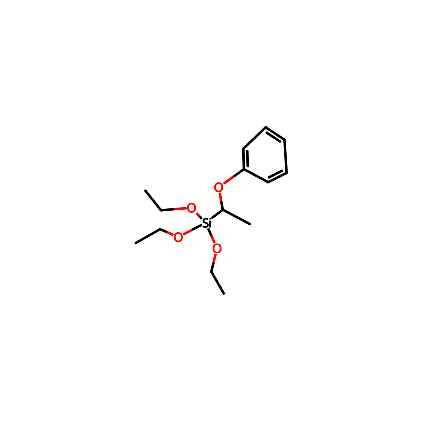 CCO[Si](OCC)(OCC)C(C)Oc1ccccc1